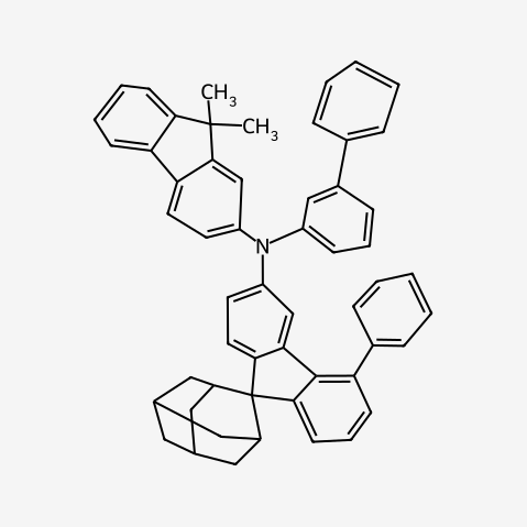 CC1(C)c2ccccc2-c2ccc(N(c3cccc(-c4ccccc4)c3)c3ccc4c(c3)-c3c(-c5ccccc5)cccc3C43C4CC5CC(C4)CC3C5)cc21